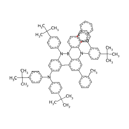 Cc1ccccc1-c1cc2c3c(c1)N(c1ccc(C(C)(C)C)cc1-c1ccccc1)c1c(ccc4c1oc1ccccc14)B3N(c1ccc(C(C)(C)C)cc1)c1ccc(N(c3ccc(C(C)(C)C)cc3)c3ccc(C(C)(C)C)cc3)cc1-2